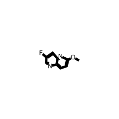 COc1ccc2ncc(F)cc2n1